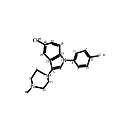 CN1CCN(c2cn(-c3ccc(F)cc3)c3ccc(Cl)cc23)CC1